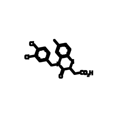 Cc1ccc2c(c1)N(Cc1ccc(Cl)c(Cl)c1)C(=O)C(CC(=O)O)S2